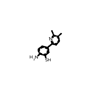 Cc1ccc(-c2ccc(N)c(S)c2)nc1C